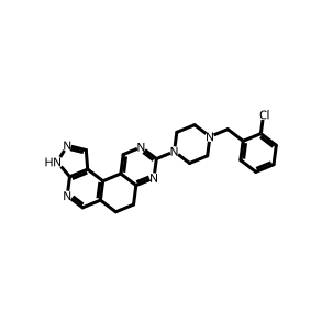 Clc1ccccc1CN1CCN(c2ncc3c(n2)CCc2cnc4[nH]ncc4c2-3)CC1